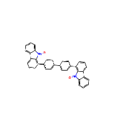 [O-][NH+]1c2ccccc2-c2cccc(-c3ccc(-c4ccc(-c5cccc6c5[NH+]([O-])c5ccccc5-6)cc4)cc3)c21